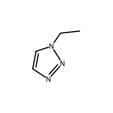 CCn1[c]cnn1